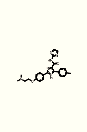 Cc1ccc(-c2[nH]c(-c3ccc(OCCN(C)C)cc3)nc2C(=O)Nc2nccs2)cc1